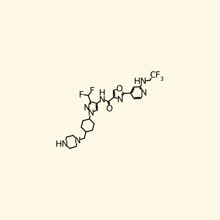 O=C(Nc1cn(C2CCC(CN3CCNCC3)CC2)nc1C(F)F)c1coc(-c2ccnc(NCC(F)(F)F)c2)n1